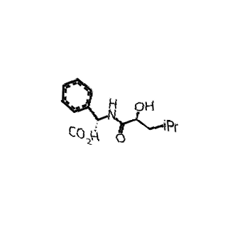 CC(C)C[C@H](O)C(=O)N[C@H](C(=O)O)c1ccccc1